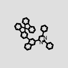 c1ccc(-c2cc(-c3cc(-c4ccc5c(c4)C4(c6ccccc6-c6ccccc64)c4ccccc4-5)c4ccccc4c3)nc(-c3ccccc3)n2)cc1